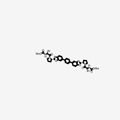 COC(=O)N[C@H](C(=O)N1CCC[C@H]1c1nc2cc(-c3ccc(-c4ccc5nc([C@@H]6CCCN6C(=O)[C@@H](NC(=O)OC)C(C)C)oc5c4)cc3)ccc2o1)C(C)C